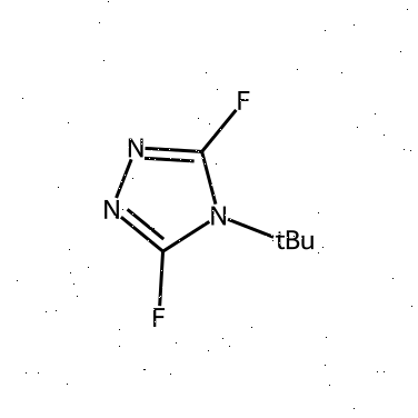 CC(C)(C)n1c(F)nnc1F